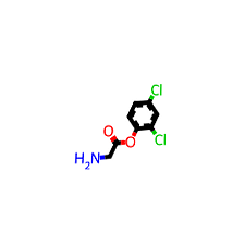 NCC(=O)Oc1ccc(Cl)cc1Cl